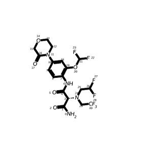 NC(=O)[C@H](C(=O)Nc1ccc(N2CCOCC2=O)cc1OC(F)F)N(CC(F)F)CC(F)(F)F